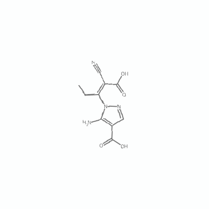 CCC(=C(C#N)C(=O)O)n1ncc(C(=O)O)c1N